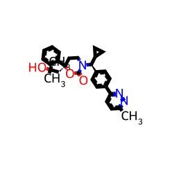 Cc1ccc(-c2ccc([C@H](C3CC3)N3CC[C@](CC(C)(C)O)(c4ccccc4)OC3=O)cc2)nn1